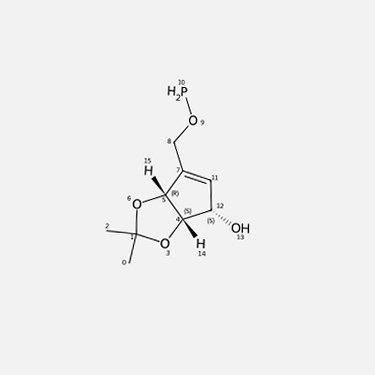 CC1(C)O[C@@H]2[C@H](O1)C(COP)=C[C@@H]2O